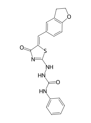 O=C(NNC1=NC(=O)/C(=C/c2ccc3c(c2)CCO3)S1)Nc1ccccc1